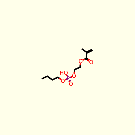 C=C(C)C(=O)OCCOP(=O)(O)OCCCC